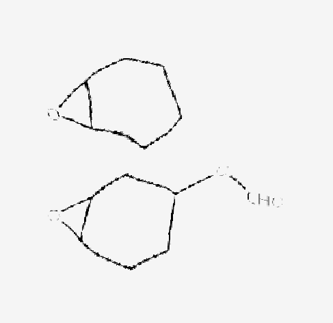 C1CCC2OC2C1.O=COC1CCC2OC2C1